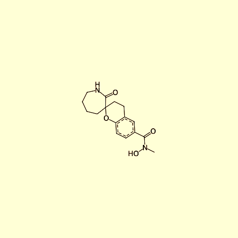 CN(O)C(=O)c1ccc2c(c1)CCC1(CCCCNC1=O)O2